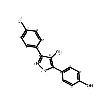 Oc1ccc(-c2[nH]nc(-c3ccc(Cl)cc3)c2O)cc1